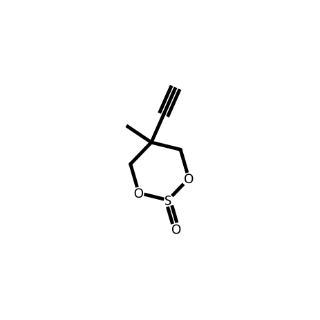 C#CC1(C)COS(=O)OC1